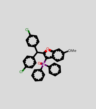 COc1ccc2c(P(=O)(c3ccccc3)c3ccccc3)c(C(c3ccc(Cl)cc3)c3ccc(Cl)cc3)oc2c1